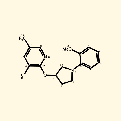 COc1ccccc1N1CCC(Oc2ncc(C(F)(F)F)cc2Cl)C1